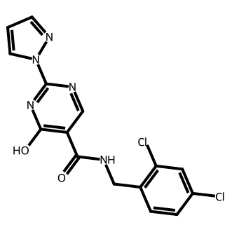 O=C(NCc1ccc(Cl)cc1Cl)c1cnc(-n2cccn2)nc1O